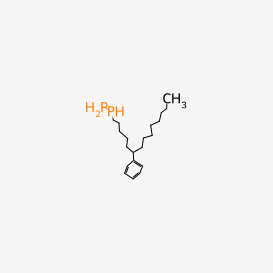 CCCCCCCCC(CCCCCPP)c1ccccc1